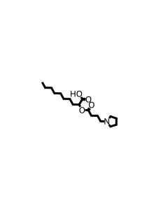 CCCCCCCCC(OC(=O)CCCN1CCCC1)C(=O)O